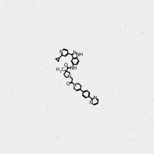 CC1(C(=O)Nc2ccc3[nH]nc(-c4ccnc(C5CC5)c4)c3c2)CCN(CC(=O)N2CC=C(c3ccc(-c4ncccn4)cc3)CC2)C1